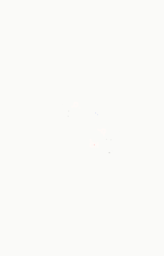 CC(C)c1ccc(O[C@@H]2CNC(C(CO)Oc3cccc(Cl)c3Cl)C2)cc1